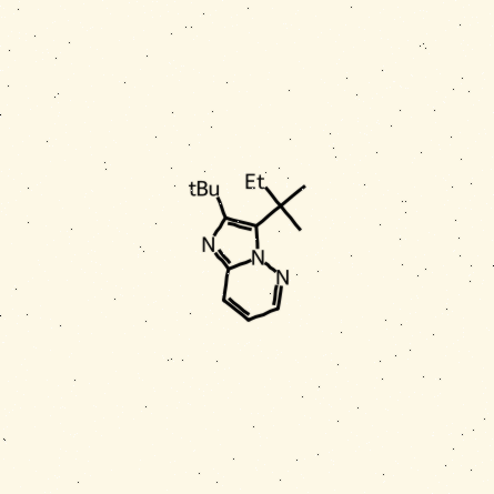 CCC(C)(C)c1c(C(C)(C)C)nc2cccnn12